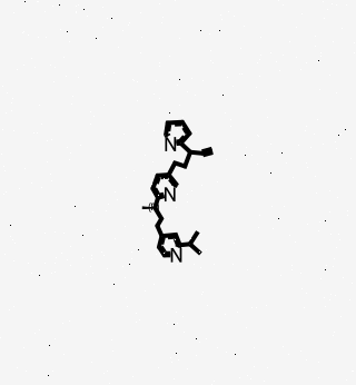 C#CC(CCc1ccc([C@H](C)CCc2ccnc(C(C)C)c2)nc1)c1ccccn1